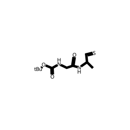 CC(C=S)NC(=O)CNC(=O)OC(C)(C)C